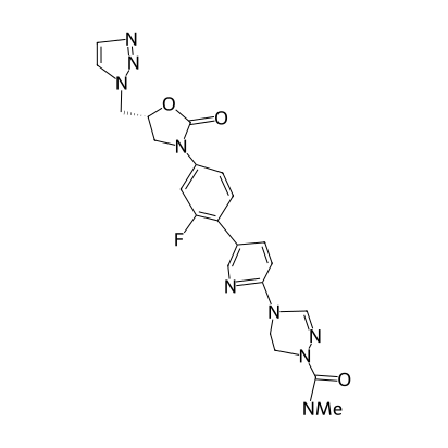 CNC(=O)N1CCN(c2ccc(-c3ccc(N4C[C@H](Cn5ccnn5)OC4=O)cc3F)cn2)C=N1